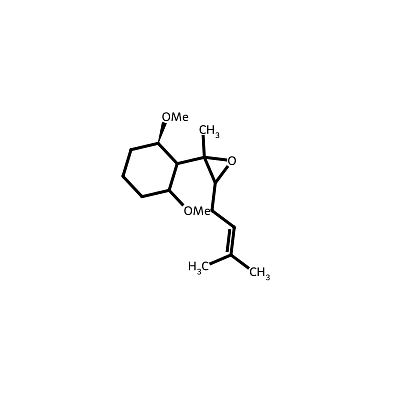 COC1CCC[C@@H](OC)C1C1(C)OC1CC=C(C)C